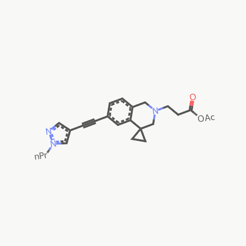 CCCn1cc(C#Cc2ccc3c(c2)C2(CC2)CN(CCC(=O)OC(C)=O)C3)cn1